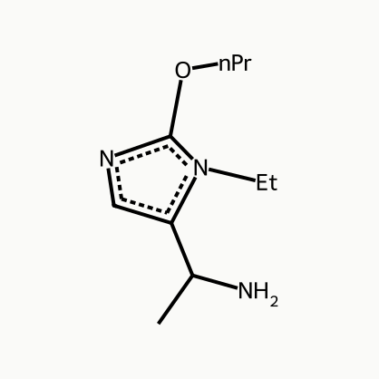 CCCOc1ncc(C(C)N)n1CC